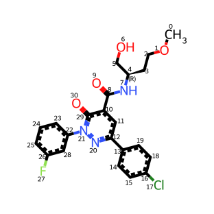 COCC[C@H](CO)NC(=O)c1cc(-c2ccc(Cl)cc2)nn(-c2cccc(F)c2)c1=O